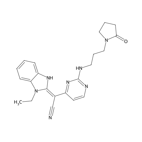 CCN1/C(=C(\C#N)c2ccnc(NCCCN3CCCC3=O)n2)Nc2ccccc21